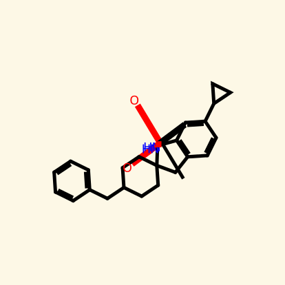 O=C1NC(=O)C2(N1)c1cc(C3CC3)ccc1CC21CCC(Cc2ccccc2)CC1